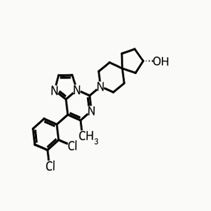 Cc1nc(N2CCC3(CC[C@H](O)C3)CC2)n2ccnc2c1-c1cccc(Cl)c1Cl